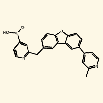 Cc1cc(-c2ccc3oc4ccc(Cc5cc(B(O)O)ccn5)cc4c3c2)ccn1